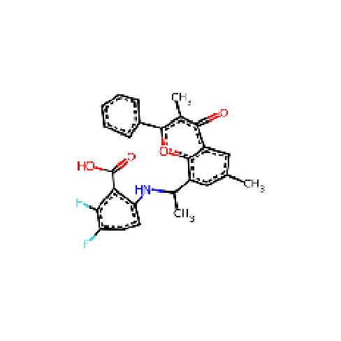 Cc1cc(C(C)Nc2ccc(F)c(F)c2C(=O)O)c2oc(-c3ccccc3)c(C)c(=O)c2c1